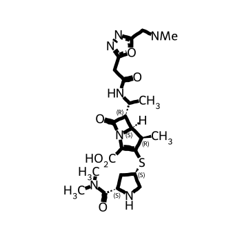 CNCc1nnc(CC(=O)NC(C)[C@H]2C(=O)N3C(C(=O)O)=C(S[C@@H]4CN[C@H](C(=O)N(C)C)C4)[C@H](C)[C@H]23)o1